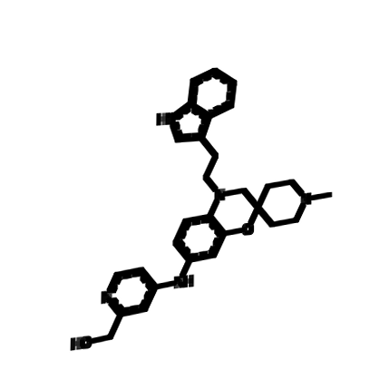 CN1CCC2(CC1)CN(CCc1c[nH]c3ccccc13)c1ccc(Nc3ccnc(CO)c3)cc1O2